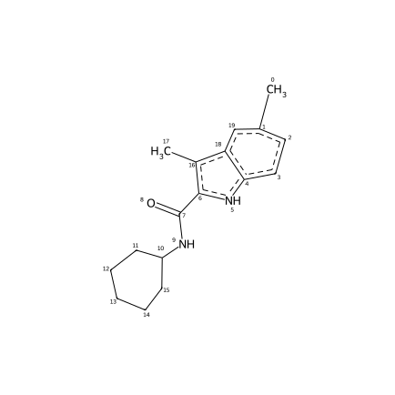 Cc1ccc2[nH]c(C(=O)NC3CCCCC3)c(C)c2c1